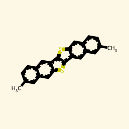 Cc1ccc2cc3c(cc2c1)sc1c2cc4cc(C)ccc4cc2sc31